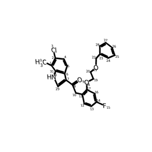 Cc1c(Cl)ccc2c(C(=O)Cc3ccc(F)cc3OCCOCc3ccccc3)c[nH]c12